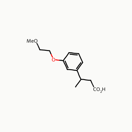 COCCOc1cccc(C(C)CC(=O)O)c1